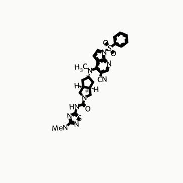 CNc1nsc(NC(=O)N2C[C@H]3C[C@H](N(C)c4c(C#N)cnc5c4ccn5S(=O)(=O)c4ccccc4)C[C@H]3C2)n1